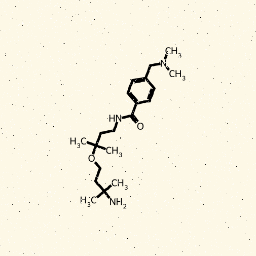 CN(C)Cc1ccc(C(=O)NCCC(C)(C)OCCC(C)(C)N)cc1